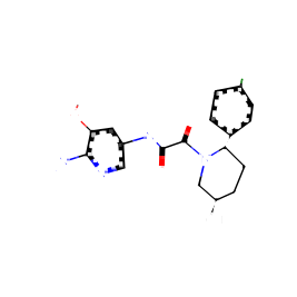 COc1cc(NC(=O)C(=O)N2C[C@H](C)CC[C@H]2c2ccc(F)cc2)cnc1N